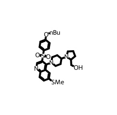 CCCCOc1ccc(S(=O)(=O)c2cnc3ccc(SC)cc3c2N2CCC(N3CCCC3CO)CC2)cc1